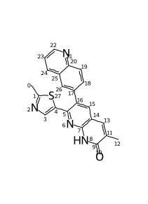 Cc1ncc(-c2nc3[nH]c(=O)c(C)cc3cc2-c2ccc3ncccc3c2)s1